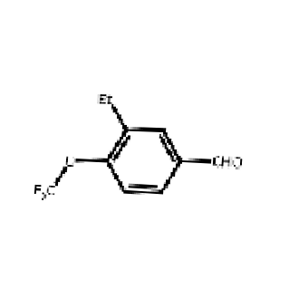 CCc1cc(C=O)ccc1OC(F)(F)F